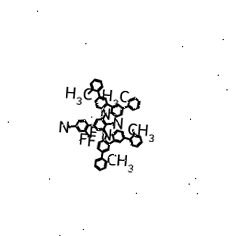 Cc1ccccc1-c1ccc2c(c1)c1cc(-c3ccccc3C)ccc1n2-c1cc(-c2ccc(C#N)cc2C(F)(F)F)cc(-n2c3ccc(-c4ccccc4C)cc3c3cc(-c4ccccc4C)ccc32)c1C#N